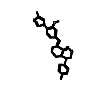 COc1cc(/C=C2\CCCN3C2=NOC[C@H]3c2ccc(C)cc2)ccc1-n1cnc(C)c1